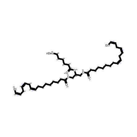 CC/C=C\C/C=C\C/C=C\CCCCCCCC(=O)OCC(COC(=O)CCCCCCC/C=C\C/C=C\C/C=C\CC)OC(=O)CCCCCCCCCCCCCCC